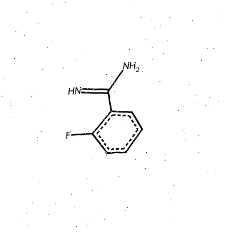 N=C(N)c1ccc[c]c1F